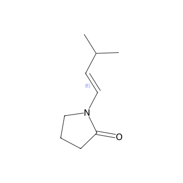 CC(C)/C=C/N1CCCC1=O